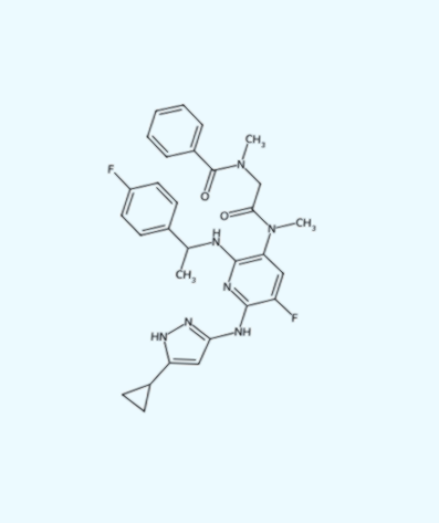 CC(Nc1nc(Nc2cc(C3CC3)[nH]n2)c(F)cc1N(C)C(=O)CN(C)C(=O)c1ccccc1)c1ccc(F)cc1